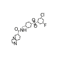 O=C(NCc1ccc(S(=O)(=O)c2cc(F)cc(Cl)c2)cc1)c1ccc2nccn2c1